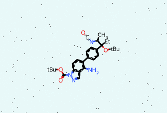 CCC(OC(C)(C)C)(c1ccc(-c2ccc3c(cnn3C(=O)OC(C)(C)C)c2N)cc1)C(C)N=C=O